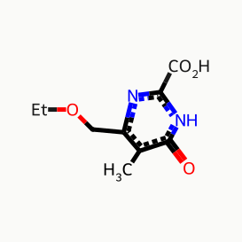 CCOCc1nc(C(=O)O)[nH]c(=O)c1C